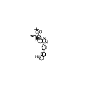 C=CCNC(CNc1ncnc(N2CCC(c3ccc4c(n3)NCCC4)CC2)c1CC)C(=O)OC(C)(C)C